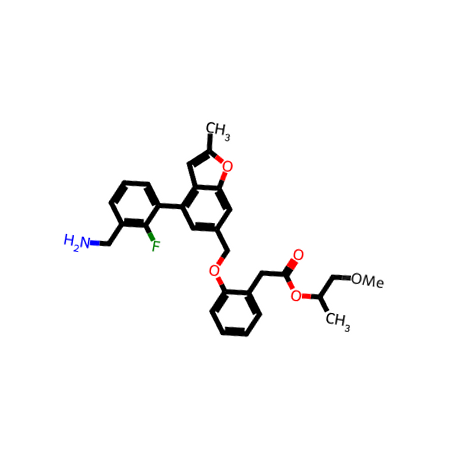 COCC(C)OC(=O)Cc1ccccc1OCc1cc(-c2cccc(CN)c2F)c2cc(C)oc2c1